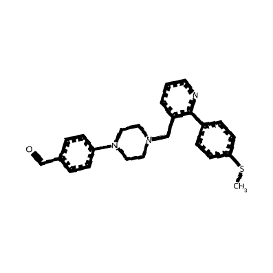 CSc1ccc(-c2ncccc2CN2CCN(c3ccc([C]=O)cc3)CC2)cc1